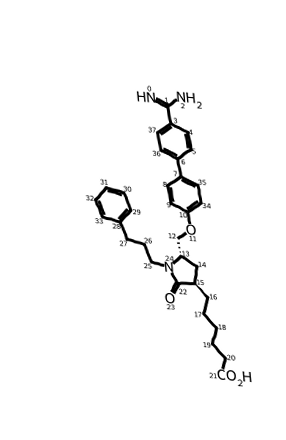 N=C(N)c1ccc(-c2ccc(OC[C@@H]3C[C@@H](CCCCCC(=O)O)C(=O)N3CCCc3ccccc3)cc2)cc1